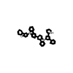 C1=CCNC(C2=C[C@H](N3C4=CCC(c5ccc6c(c5)c5ccccc5n6C5=CC=C6OC7=C(CCC=C7)C6C5)CC4c4ccccc43)CC(c3ccccc3)=C2)=C1